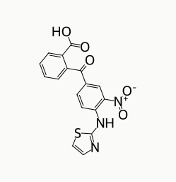 O=C(O)c1ccccc1C(=O)c1ccc(Nc2nccs2)c([N+](=O)[O-])c1